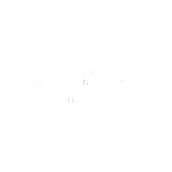 CCCC[N]([Zn])CCCC.O=CO